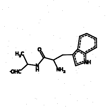 CC([C]=O)NC(=O)C(N)Cc1c[nH]c2ccccc12